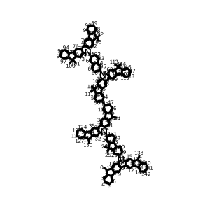 CC1c2ccccc2-c2cc3c4cc5c(cc4n(-c4ccc6c(c4)C(C)(C)c4cc(-n7c8cc9c(cc8c8cc%10c(cc87)C(C)c7ccc(-c8ccc%11c(c8)-c8cc%12c%13cc%14c(cc%13n(-c%13ccc%15cc(-n%16c%17cc%18c(cc%17c%17cc%19c(cc%17%16)C(C)(C)c%16ccccc%16-%19)-c%16ccccc%16C%18(C)C)ccc%15c%13)c%12cc8C%11(C)C)C(C)(C)c8ccccc8-%14)cc7-%10)-c7ccccc7C9C)ccc4-6)c3cc21)C(C)c1ccccc1-5